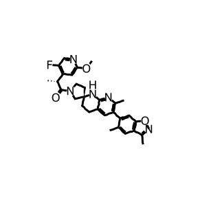 COc1cc([C@@H](C)C(=O)N2CC[C@@]3(CCc4cc(-c5cc6onc(C)c6cc5C)c(C)nc4N3)C2)c(F)cn1